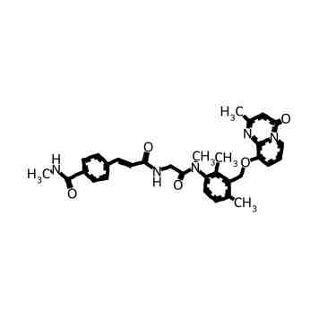 CNC(=O)c1ccc(C=CC(=O)NCC(=O)N(C)c2ccc(C)c(COc3cccn4c(=O)cc(C)nc34)c2C)cc1